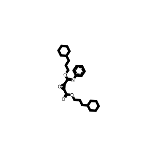 O=C(OCCCC1CCCCC1)C1OC1C(=Nc1ccccc1)OCCCC1CCCCC1